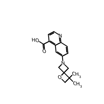 CC1(C)COC12CN(c1ccc3nccc(C(=O)O)c3c1)C2